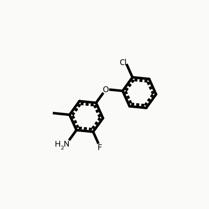 Cc1cc(Oc2ccccc2Cl)cc(F)c1N